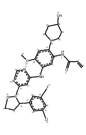 C=CC(=O)Nc1cc(Nc2cc(N3OCCC3c3cc(F)cc(Cl)c3)ncn2)c(OC)cc1N1CCC(O)CC1